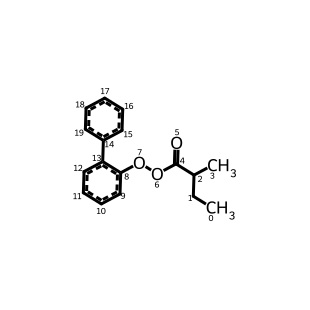 CCC(C)C(=O)OOc1ccccc1-c1ccccc1